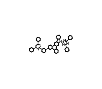 c1ccc(-c2cc(-c3ccccc3)nc(-c3cccc(-c4ccc5c(c4)c4ccccc4c4cc6c(cc54)c4ccccc4n6-c4nc(-c5ccccc5)nc(-c5ccccc5)n4)c3)n2)cc1